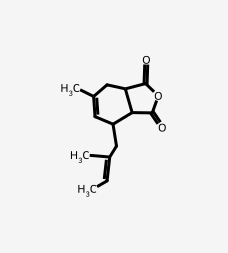 C/C=C(\C)CC1C=C(C)CC2C(=O)OC(=O)C12